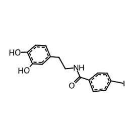 O=C(NCCc1ccc(O)c(O)c1)c1ccc(I)cc1